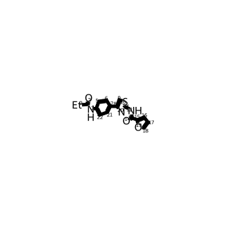 CCC(=O)Nc1ccc(-c2csc(NC(=O)c3ccco3)n2)cc1